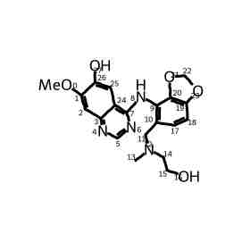 COc1cc2ncnc(Nc3c(CN(C)CCO)ccc4c3OCO4)c2cc1O